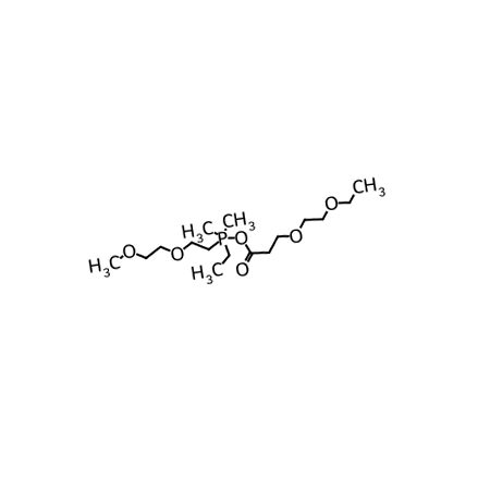 CCOCCOCCC(=O)OP(C)(C)(CC)CCOCCOC